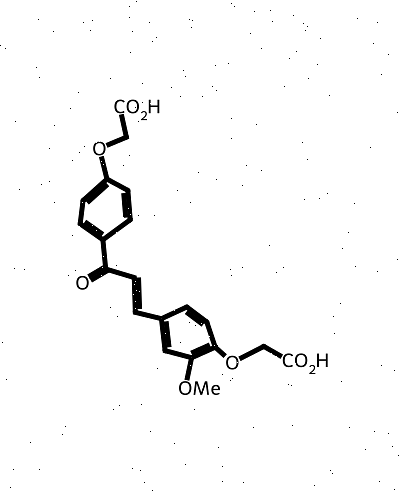 COc1cc(C=CC(=O)c2ccc(OCC(=O)O)cc2)ccc1OCC(=O)O